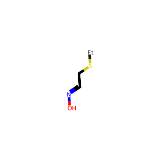 CCSCC=NO